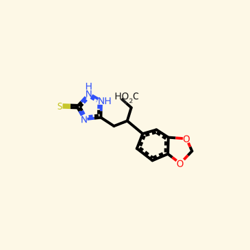 O=C(O)CC(Cc1nc(=S)[nH][nH]1)c1ccc2c(c1)OCO2